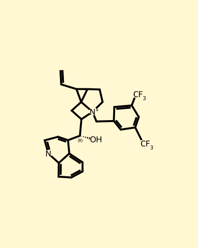 C=CC1C2CC[N+]3(Cc4cc(C(F)(F)F)cc(C(F)(F)F)c4)C([C@H](O)c4ccnc5ccccc45)CC123